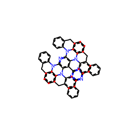 c1ccc(-c2nc(-c3ccccc3)nc(-c3c(N4c5ccccc5Cc5ccccc54)c(N4c5ccccc5Cc5ccccc54)nc(N4c5ccccc5Cc5ccccc54)c3N3c4ccccc4Cc4ccccc43)n2)cc1